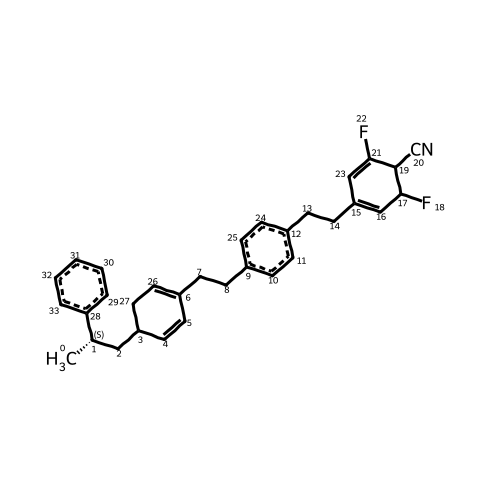 C[C@@H](CC1C=CC(CCc2ccc(CCC3=CC(F)C(C#N)C(F)=C3)cc2)=CC1)c1ccccc1